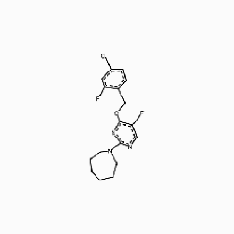 Fc1cc(Cl)ccc1COc1nc(N2CCCCCC2)ncc1F